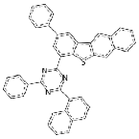 c1ccc(-c2cc(-c3nc(-c4ccccc4)nc(-c4cccc5ccccc45)n3)c3sc4cc5ccccc5cc4c3c2)cc1